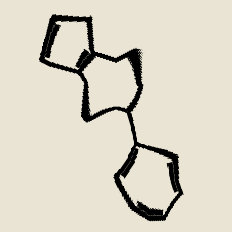 [CH]1C=CC2=C1CCC(c1ccccc1)C2